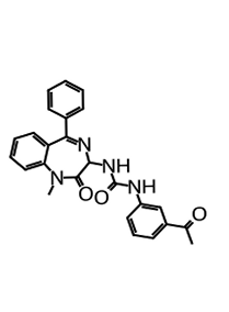 CC(=O)c1cccc(NC(=O)NC2N=C(c3ccccc3)c3ccccc3N(C)C2=O)c1